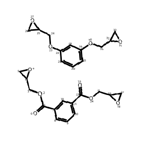 O=C(OCC1CO1)c1cccc(C(=O)OCC2CO2)c1.c1cc(OCC2CO2)cc(OCC2CO2)c1